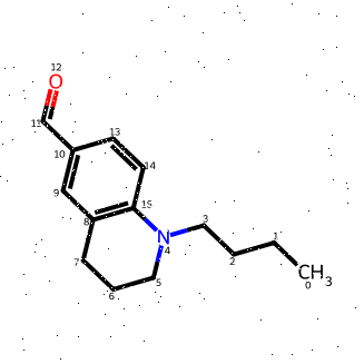 CCCCN1CCCc2cc(C=O)ccc21